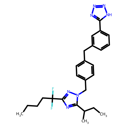 CCCCC(F)(F)c1nc(C(C)CC)n(Cc2ccc(Cc3cccc(-c4nnn[nH]4)c3)cc2)n1